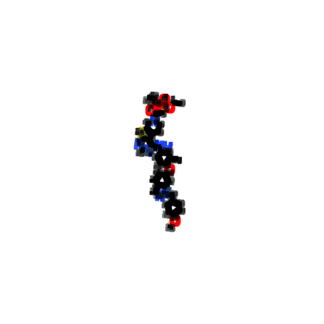 CCOP(=O)(CC(=O)N1CCc2c(sc3ncnc(Nc4ccc(Oc5ccc6cnn(Cc7ccc(OC)cc7)c6c5)c(C)c4)c23)C1)OCC